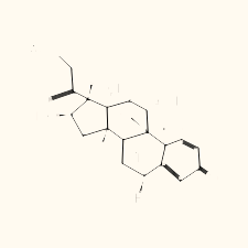 CC(=O)OCC(=O)[C@@]1(O)[C@H](O)C[C@H]2[C@@H]3C[C@H](F)C4=CC(=O)C=C[C@]4(C)[C@@]3(Br)[C@@H](O)C[C@@]21C